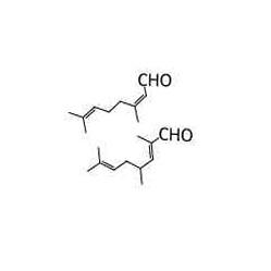 CC(C)=CCC(C)C=C(C)C=O.CC(C)=CCCC(C)=CC=O